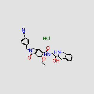 CCOc1cc2c(cc1C(=O)NCC(O)[C@@H]1Cc3ccccc3CN1)CN(Cc1ccc(C#N)cc1)C2=O.Cl